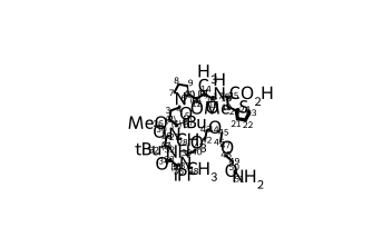 CC[C@H](C)[C@@H]([C@@H](CC(=O)N1CCC[C@H]1[C@H](OC)[C@@H](C)C(=O)N[C@@H](Cc1cccs1)C(=O)O)OC)N(C)C(=O)[C@@H](NC(=O)[C@H](C(C)C)N(C)CCOCCOCCOCCON)C(C)(C)C